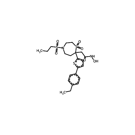 CCCS(=O)(=O)N1CCC(CC(=O)NO)(c2ccc(-c3ccc(CC)cc3)s2)S(=O)(=O)CC1